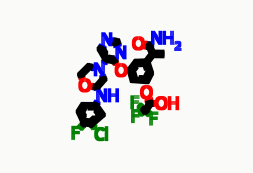 C=C(C(N)=O)c1cccc(Oc2ncncc2N2CCOC(Nc3ccc(F)c(Cl)c3)C2)c1.O=C(O)C(F)(F)F